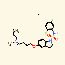 C=CCN(C)CCCCOc1ccc2c(c1)CCN2S(=O)(=O)Nc1cc(F)ccc1F